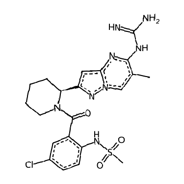 Cc1cn2nc([C@@H]3CCCCN3C(=O)c3cc(Cl)ccc3NS(C)(=O)=O)cc2nc1NC(=N)N